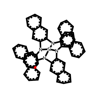 c1ccc2cc3c(cc2c1)N(c1cccc2ccccc12)[Si]1(N3c2cccc3ccccc23)N(c2cccc3ccccc23)c2cc3ccccc3cc2N1c1cccc2ccccc12